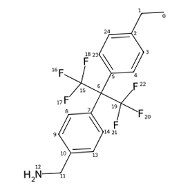 CCc1ccc(C(c2ccc(CN)cc2)(C(F)(F)F)C(F)(F)F)cc1